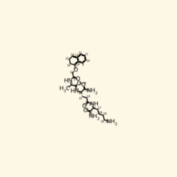 CC(NC(=O)COC1=c2ccccc2=CCC1)C(=O)N[C@@H](CCC(=O)NC(CCCCN)C(N)=O)C(N)=O